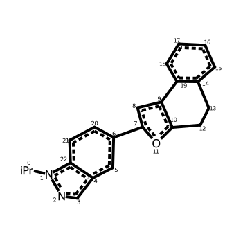 CC(C)n1ncc2cc(-c3cc4c(o3)CCc3ccccc3-4)ccc21